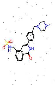 CN1CCN(Cc2ccc(-c3cc4c(CNS(C)(=O)=O)cccc4c(=O)[nH]3)cc2)CC1